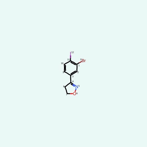 Brc1cc(C2=NOCC2)ccc1I